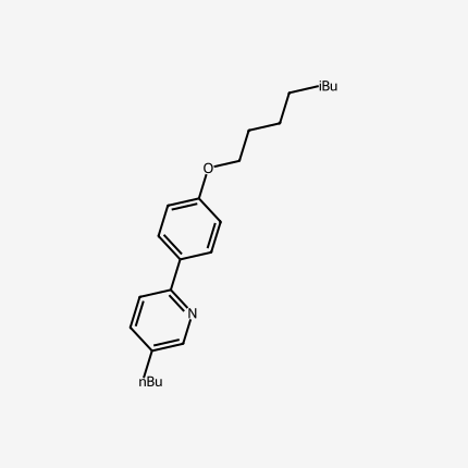 CCCCc1ccc(-c2ccc(OCCCCC(C)CC)cc2)nc1